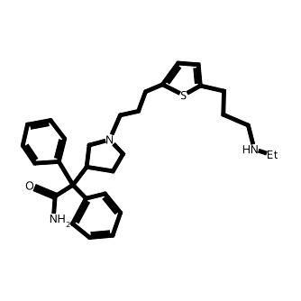 CCNCCCc1ccc(CCCN2CCC(C(C(N)=O)(c3ccccc3)c3ccccc3)C2)s1